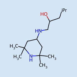 CC(C)CC(O)CNC1CC(C)(C)NC(C)(C)C1